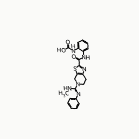 CN/C(=N\c1ccccc1)N1CCc2nc(C(=O)Nc3ccccc3NC(=O)O)sc2C1